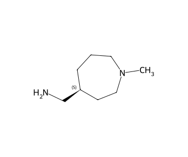 CN1CCC[C@H](CN)CC1